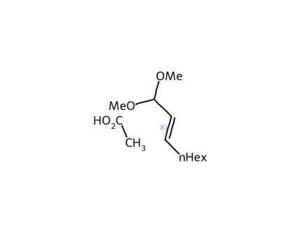 CC(=O)O.CCCCCC/C=C/C(OC)OC